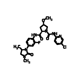 CO[C@@H]1C[C@H](C(=O)Nc2ccc(N3C(=O)N(C)CC3C)cc2F)N(C(=O)Nc2ccc(Cl)cn2)C1